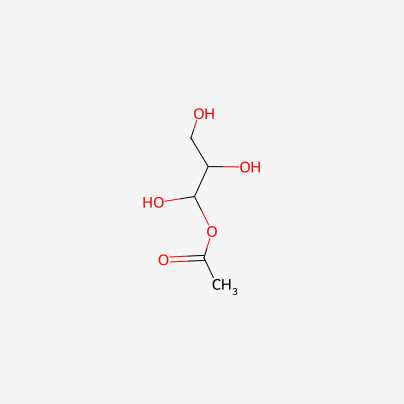 CC(=O)OC(O)C(O)CO